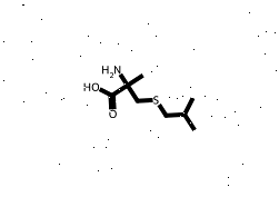 CC(C)CSCC(C)(N)C(=O)O